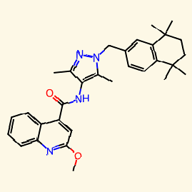 COc1cc(C(=O)Nc2c(C)nn(Cc3ccc4c(c3)C(C)(C)CCC4(C)C)c2C)c2ccccc2n1